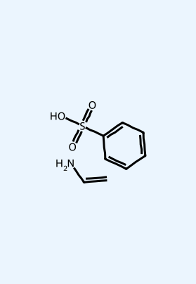 C=CN.O=S(=O)(O)c1ccccc1